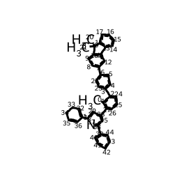 Cc1c(-c2ccc(-c3ccc4c(c3)-c3ccccc3C4(C)C)cc2)cccc1-c1cc(C2=CCCC=C2)nc(-c2ccccc2)c1